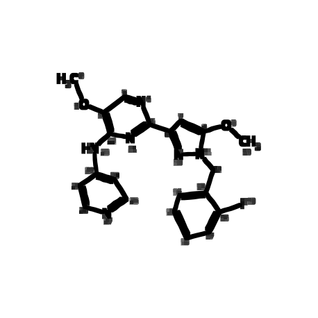 COc1cnc(-c2cc(OC)n(Cc3ccccc3F)n2)nc1Nc1ccncc1